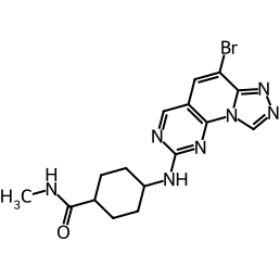 CNC(=O)C1CCC(Nc2ncc3cc(Br)c4nncn4c3n2)CC1